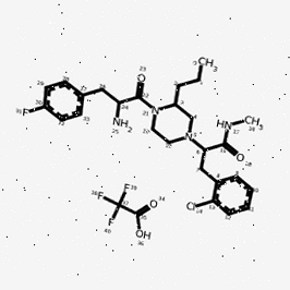 CCCC1CN(C(Cc2ccccc2Cl)C(=O)NC)CCN1C(=O)C(N)Cc1ccc(F)cc1.O=C(O)C(F)(F)F